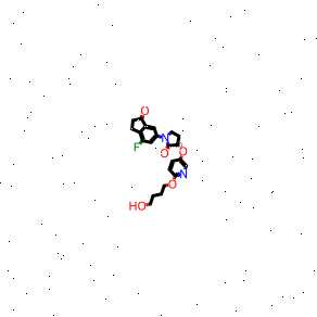 O=C1CCc2c(F)cc(N3CC[C@@H](Oc4ccc(OCCCCO)nc4)C3=O)cc21